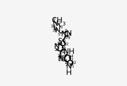 CN1CCN(Cn2cncc2-c2cc3c(Nc4ccc5[nH]ccc5c4)c(C#N)cnc3s2)CC1